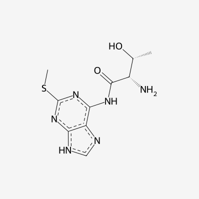 CSc1nc(NC(=O)[C@@H](N)[C@@H](C)O)c2nc[nH]c2n1